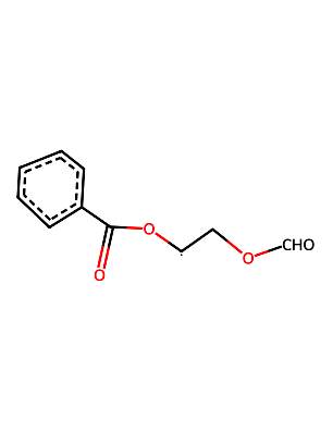 O=COC[CH]OC(=O)c1ccccc1